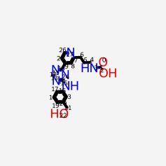 O=C(O)NCCCc1cc(-c2ncnc(Nc3cccc(CO)c3)n2)ccn1